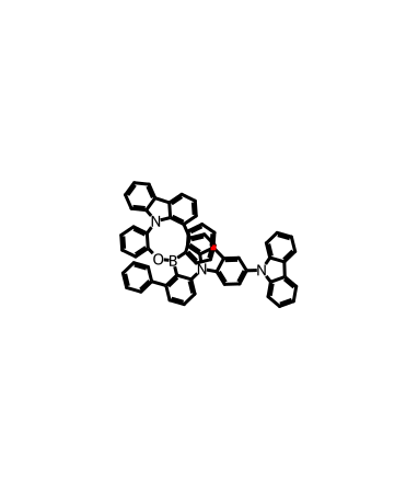 c1ccc(-c2cccc(-n3c4ccccc4c4cc(-n5c6ccccc6c6ccccc65)ccc43)c2B2Oc3ccccc3-n3c4ccccc4c4cccc(c43)-c3ccccc32)cc1